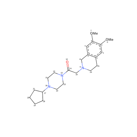 COc1cc2c(cc1OC)CN(CC(=O)N1CCN(C3CCCC3)CC1)CC2